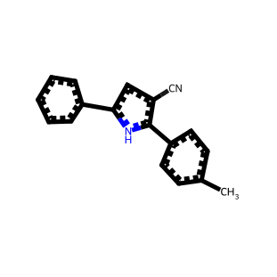 Cc1ccc(-c2[nH]c(-c3ccccc3)cc2C#N)cc1